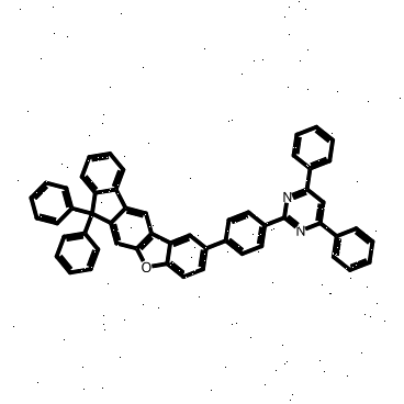 c1ccc(-c2cc(-c3ccccc3)nc(-c3ccc(-c4ccc5oc6cc7c(cc6c5c4)-c4ccccc4C7(c4ccccc4)c4ccccc4)cc3)n2)cc1